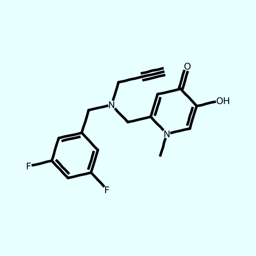 C#CCN(Cc1cc(F)cc(F)c1)Cc1cc(=O)c(O)cn1C